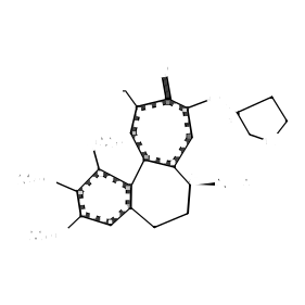 COc1cc2c(c(OC)c1OC)-c1cc(I)c(=O)c(O[C@@H]3CCOC3)cc1[C@@H](NC(C)=O)CC2